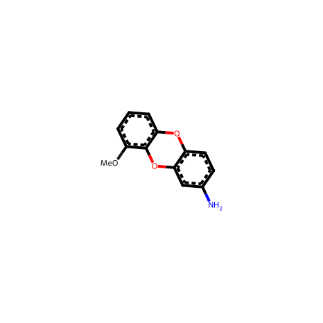 COc1cccc2c1Oc1cc(N)ccc1O2